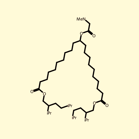 CNCC(=O)OC(CCCCCCCCCC(=O)OCC(CCC(C)C)C(C)C)CCCCCCCCCC(=O)OCC(CCC(C)C)C(C)C